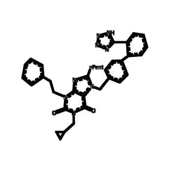 CCCCCc1nc2c(c(=O)n(CC3CC3)c(=O)n2CCc2ccccc2)n1Cc1ccc(-c2ccccc2-c2nnn[nH]2)cc1